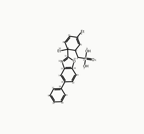 CCC1=CC(CP(=O)(O)O)C(CC)(c2nc3cc(-c4ccccc4)ccc3o2)C=C1